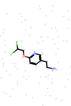 NCCc1ccc(OCC(F)F)nc1